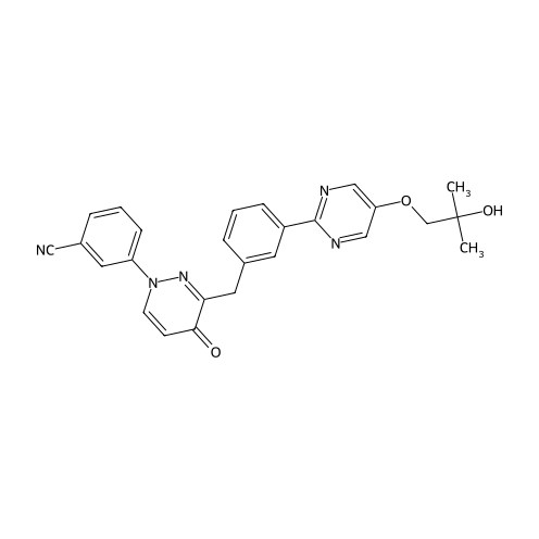 CC(C)(O)COc1cnc(-c2cccc(Cc3nn(-c4cccc(C#N)c4)ccc3=O)c2)nc1